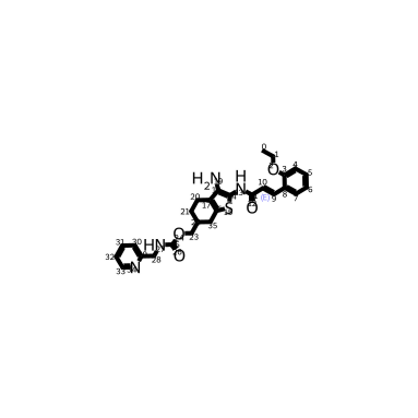 CCOc1ccccc1/C=C/C(=O)Nc1sc2c(c1N)CCC(COC(=O)NCc1ccccn1)C2